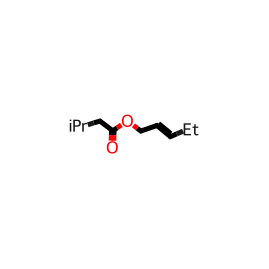 CC/C=C/COC(=O)CC(C)C